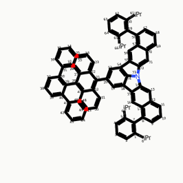 CC(C)c1cccc(C(C)C)c1-c1cccc2cc3c(cc12)c1cc(-c2c4ccccc4c(-c4c(-c5ccccc5)cccc4-c4ccccc4)c4ccccc24)cc2c4cc5c(-c6c(C(C)C)cccc6C(C)C)cccc5cc4n3c12